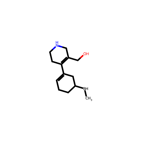 CBC1CCC=C(C2=C(CO)CNCC2)C1